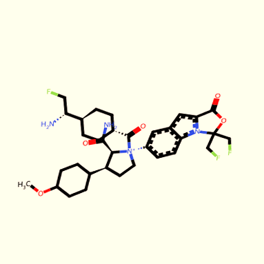 COC1CCC([C@@H]2CC[N@+](c3ccc4c(c3)cc3n4C(CF)(CF)OC3=O)(C(=O)[C@H]3CC[C@H]([C@H](N)CF)CC3)[C@@H]2C(N)=O)CC1